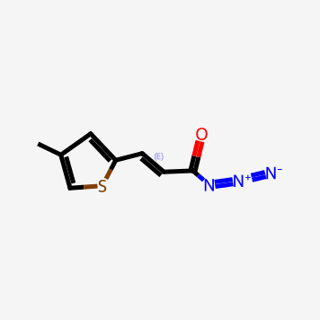 Cc1csc(/C=C/C(=O)N=[N+]=[N-])c1